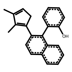 CC1=CCC(c2ccc3ccccc3c2-c2ccccc2O)=C1C